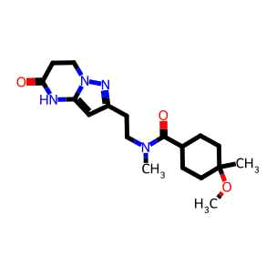 COC1(C)CCC(C(=O)N(C)CCc2cc3n(n2)CCC(=O)N3)CC1